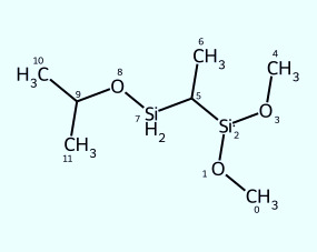 CO[Si](OC)C(C)[SiH2]OC(C)C